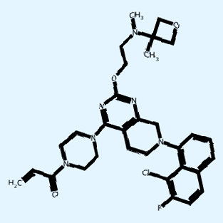 C=CC(=O)N1CCN(c2nc(OCCN(C)C3(C)COC3)nc3c2CCN(c2cccc4ccc(F)c(Cl)c24)C3)CC1